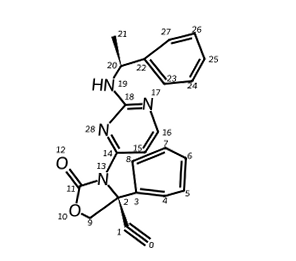 C#C[C@@]1(c2ccccc2)COC(=O)N1c1ccnc(N[C@@H](C)c2ccccc2)n1